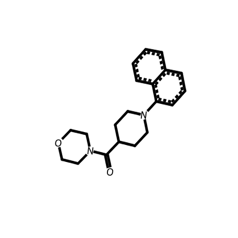 O=C(C1CCN(c2cccc3ccccc23)CC1)N1CCOCC1